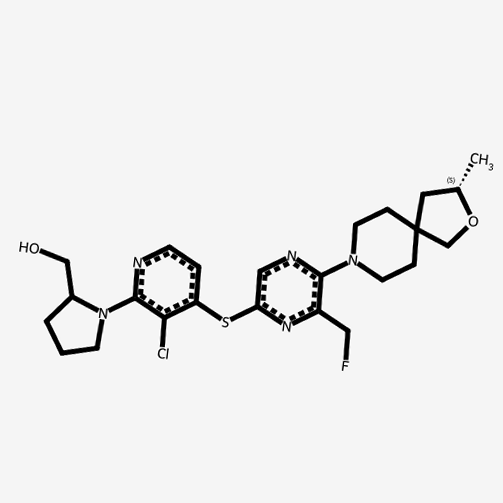 C[C@H]1CC2(CCN(c3ncc(Sc4ccnc(N5CCCC5CO)c4Cl)nc3CF)CC2)CO1